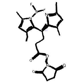 CC1=CC(C)=N/C1=C(/CCC(=O)ON1C(=O)CCC1=O)c1c(C)cc(C)n1B(F)F